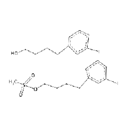 CS(=O)(=O)OCCCCc1cccc(I)c1.OCCCCc1cccc(I)c1